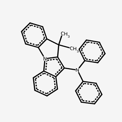 CC1(C)c2ccccc2-n2c1c(N(c1ccccc1)c1ccccc1)c1ccccc12